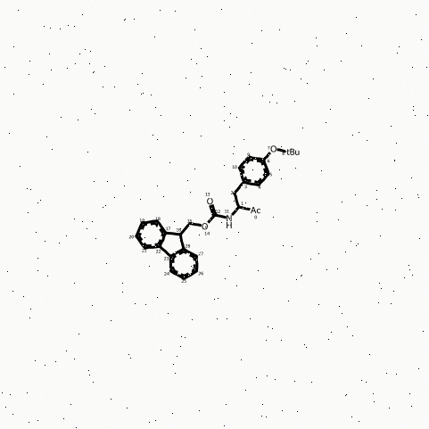 CC(=O)C(Cc1ccc(OC(C)(C)C)cc1)NC(=O)OCC1c2ccccc2-c2ccccc21